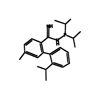 Cc1ccc(C(=N)NP(C(C)C)C(C)C)c(-c2ccccc2C(C)C)c1